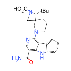 CC(C)(C)C1N(C(=O)O)CC12CCCN(c1ncc(C(N)=O)c3[nH]c4ccccc4c13)C2